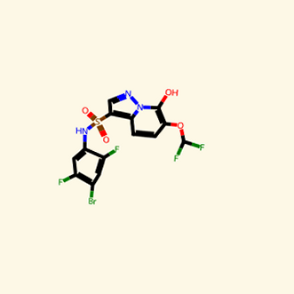 O=S(=O)(Nc1cc(F)c(Br)cc1F)c1cnn2c(O)c(OC(F)F)ccc12